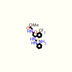 COC(=O)CNC(=O)CC(NC(=S)Nc1ccccc1N)c1cccc(C(F)(F)F)c1